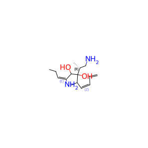 C=C/C=C\C(C)C(O)(C(O)/C(N)=C\CC)[C@H](C)CN